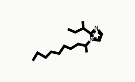 CCCCCCCCC(C)n1ccnc1C(C)CC